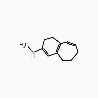 CNC1=CC2=C(C=CCCC2)CC1